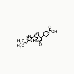 CC(C)=Cc1nc(-c2cnn3c(C4CCN(C(=O)O)CC4)cc(=O)[nH]c23)no1